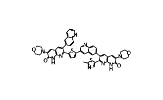 Cc1ncc(-c2nc3[nH]c(=O)c(N4CCOCC4)cc3cc2-c2ccc3ncc(-c4ccc(-c5nc6[nH]c(=O)c(N7CCOCC7)cc6cc5-c5ccc6ncccc6c5)s4)cc3c2)s1